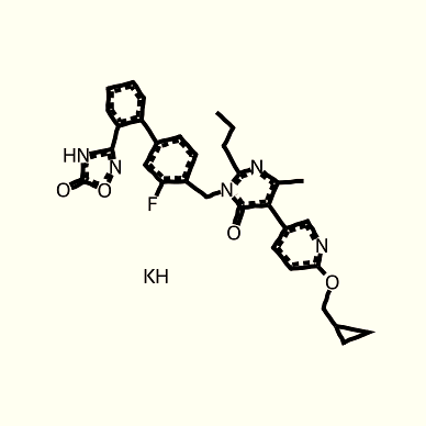 CCCc1nc(C)c(-c2ccc(OCC3CC3)nc2)c(=O)n1Cc1ccc(-c2ccccc2-c2noc(=O)[nH]2)cc1F.[KH]